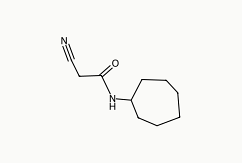 N#CCC(=O)NC1CCCCCC1